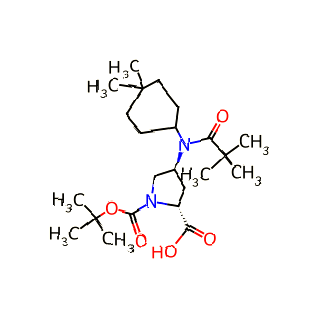 CC1(C)CCC(N(C(=O)C(C)(C)C)[C@H]2C[C@H](C(=O)O)N(C(=O)OC(C)(C)C)C2)CC1